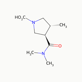 C[C@H]1CN(C(=O)O)C[C@@H]1C(=O)N(C)C